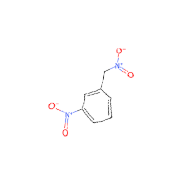 O=[N+]([O-])Cc1cccc([N+](=O)[O-])c1